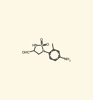 Cc1cc(N)ccc1N1CC(C=O)NS1(=O)=O